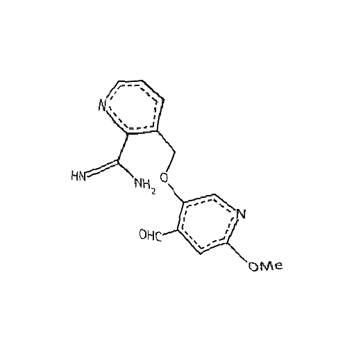 COc1cc(C=O)c(OCc2cccnc2C(=N)N)cn1